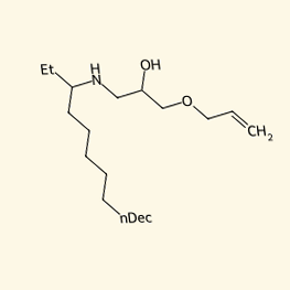 C=CCOCC(O)CNC(CC)CCCCCCCCCCCCCCC